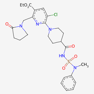 CCOC(=O)c1cc(Cl)c(N2CCC(C(=O)NS(=O)(=O)N(C)c3ccccc3)CC2)nc1CN1CCCC1=O